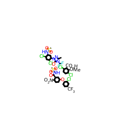 COc1c(Cl)ccc(Cl)c1C(=O)O.CS(=O)(=O)NC(=O)c1cc(Oc2ccc(C(F)(F)F)cc2Cl)ccc1[N+](=O)[O-].Cc1nn(-c2cc(NS(C)(=O)=O)c(Cl)cc2Cl)c(=O)n1C(F)F